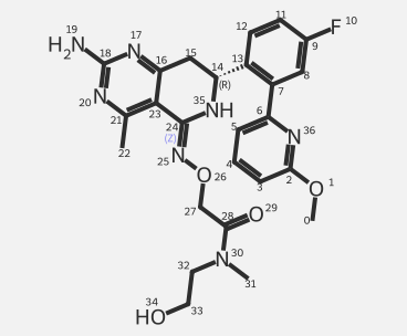 COc1cccc(-c2cc(F)ccc2[C@H]2Cc3nc(N)nc(C)c3/C(=N/OCC(=O)N(C)CCO)N2)n1